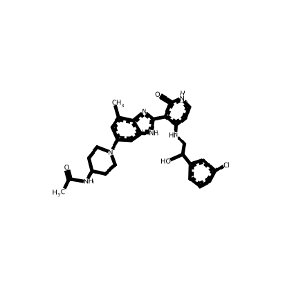 CC(=O)NC1CCN(c2cc(C)c3nc(-c4c(NCC(O)c5cccc(Cl)c5)cc[nH]c4=O)[nH]c3c2)CC1